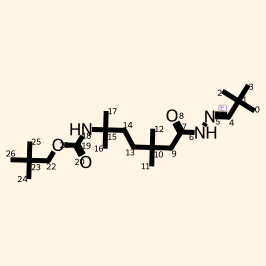 CC(C)(C)/C=N/NC(=O)CC(C)(C)CCC(C)(C)NC(=O)OCC(C)(C)C